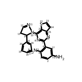 Nc1ccc(N)c(-c2nc(N3N=CCC3c3ccccc3)c3sccc3n2)c1